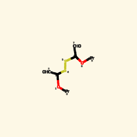 CC(C)OC(C=O)SSC(C=O)OC(C)C